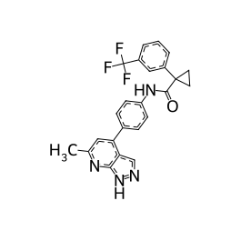 Cc1cc(-c2ccc(NC(=O)C3(c4cccc(C(F)(F)F)c4)CC3)cc2)c2cn[nH]c2n1